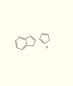 C1=CCC=C1.C1=Cc2ccccc2C1.[Ti]